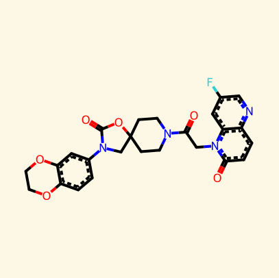 O=C(Cn1c(=O)ccc2ncc(F)cc21)N1CCC2(CC1)CN(c1ccc3c(c1)OCCO3)C(=O)O2